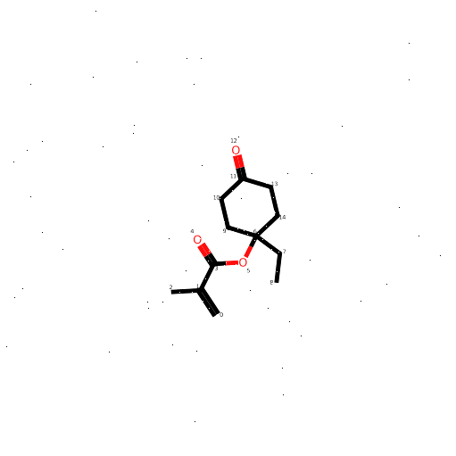 C=C(C)C(=O)OC1(CC)CCC(=O)CC1